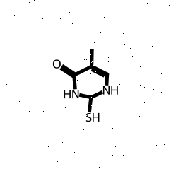 CC1=CNC(S)NC1=O